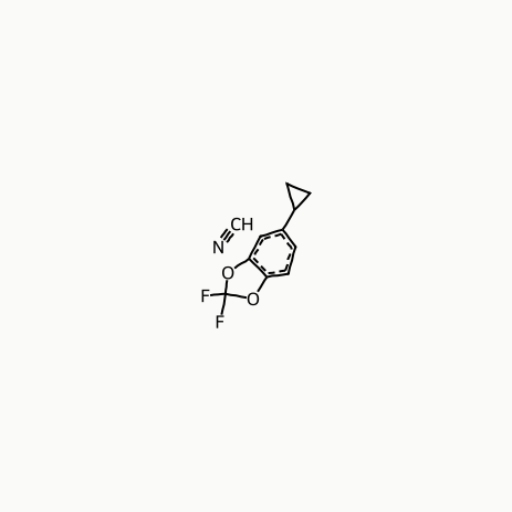 C#N.FC1(F)Oc2ccc(C3CC3)cc2O1